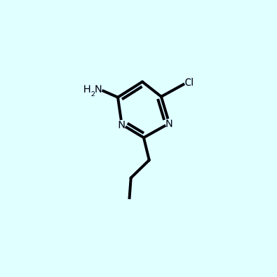 CCCc1nc(N)cc(Cl)n1